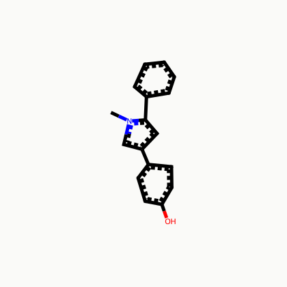 Cn1cc(-c2ccc(O)cc2)cc1-c1ccccc1